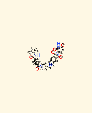 CC1(C)CC(C)(C)C1NC(=O)C12CCC(C(=O)N3CCC(CN4Cc5cc6c(cc5C4)C(=O)N(C4CCC(=O)NC4=O)C6=O)CC3)(CC1)CC2